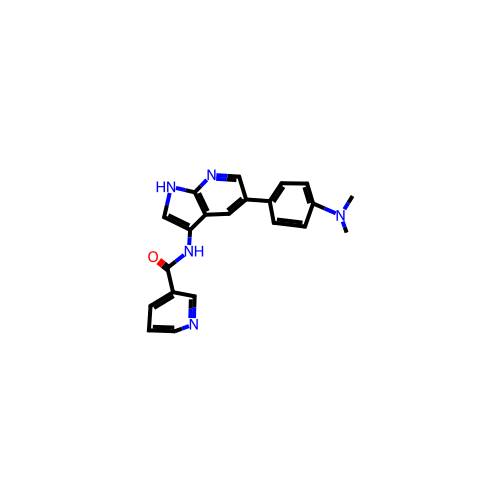 CN(C)c1ccc(-c2cnc3[nH]cc(NC(=O)c4cccnc4)c3c2)cc1